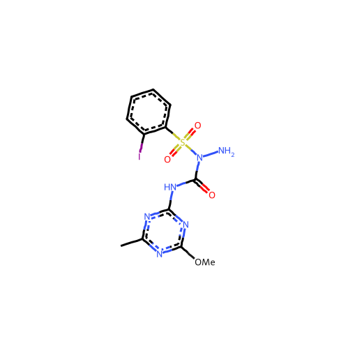 COc1nc(C)nc(NC(=O)N(N)S(=O)(=O)c2ccccc2I)n1